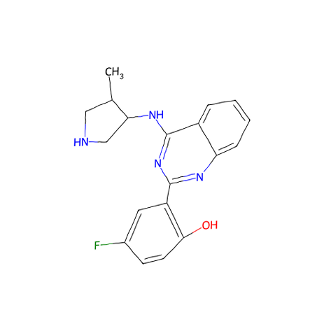 CC1CNCC1Nc1nc(-c2cc(F)ccc2O)nc2ccccc12